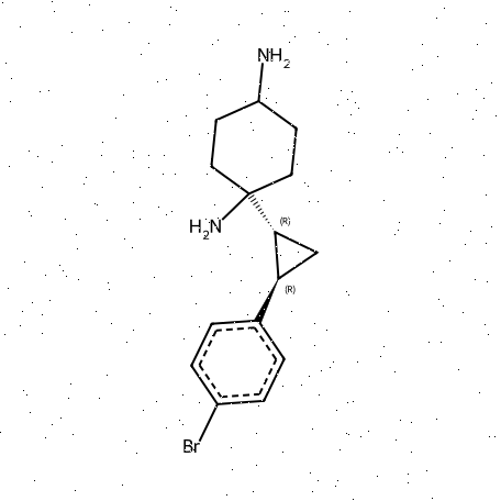 NC1CCC(N)([C@@H]2C[C@H]2c2ccc(Br)cc2)CC1